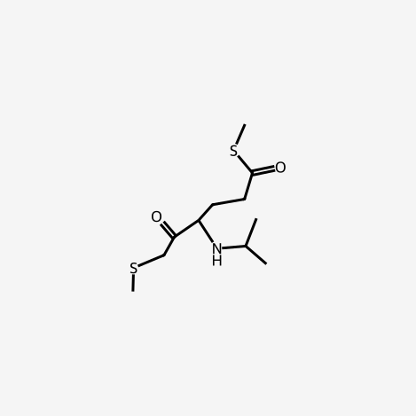 CSCC(=O)C(CCC(=O)SC)NC(C)C